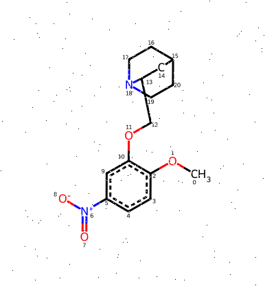 COc1ccc([N+](=O)[O-])cc1OCC1CC2CCN1CC2